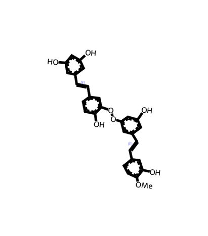 COc1ccc(/C=C/c2cc(O)cc(OOc3cc(/C=C/c4cc(O)cc(O)c4)ccc3O)c2)cc1O